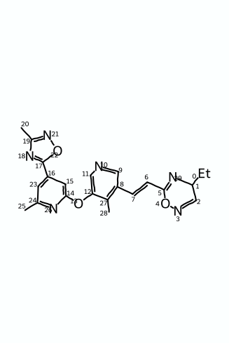 CCC1C=NOC(/C=C/c2cncc(Oc3cc(-c4nc(C)no4)cc(C)n3)c2C)=N1